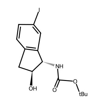 CC(C)(C)OC(=O)N[C@H]1c2cc(I)ccc2C[C@@H]1O